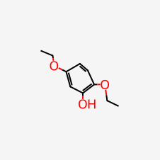 CCOc1ccc(OCC)c(O)c1